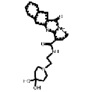 O=C(NCCN1CCC(O)(O)CC1)c1cccn2c(=O)c3cc4ccccc4cc3nc12